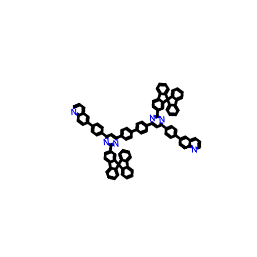 c1ccc2c(c1)-c1ccccc1C21c2ccccc2-c2ccc(-c3nc(-c4ccc(-c5ccc(-c6cc(-c7ccc(-c8ccc9ncccc9c8)cc7)nc(-c7ccc8c(c7)C7(c9ccccc9-c9ccccc97)c7ccccc7-8)n6)cc5)cc4)cc(-c4ccc(-c5ccc6ncccc6c5)cc4)n3)cc21